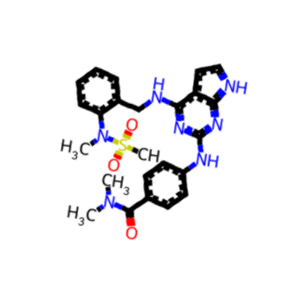 CN(C)C(=O)c1ccc(Nc2nc(NCc3ccccc3N(C)S(C)(=O)=O)c3cc[nH]c3n2)cc1